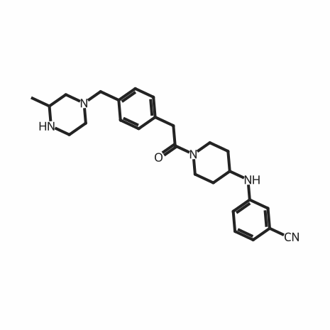 CC1CN(Cc2ccc(CC(=O)N3CCC(Nc4cccc(C#N)c4)CC3)cc2)CCN1